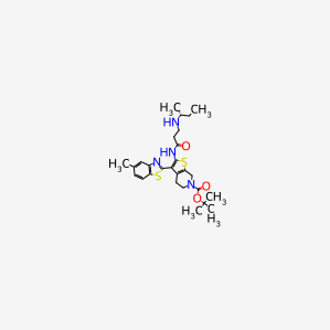 CC[C@@H](C)NCCC(=O)Nc1sc2c(c1-c1nc3cc(C)ccc3s1)CCN(C(=O)OC(C)(C)C)C2